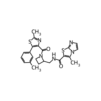 Cc1cccc(-c2sc(C)nc2C(=O)N2CCC2CNC(=O)c2sc3nccn3c2C)c1